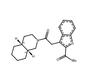 CC(C)(C)C(=O)c1sc2ccccc2c1CC(=O)N1CC[C@H]2CCCC[C@H]2C1